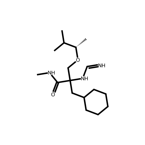 CNC(=O)C(CO[C@@H](C)C(C)C)(CC1CCCCC1)NC=N